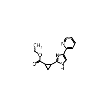 CCOC(=O)C1CC1c1nc(-c2ccccn2)c[nH]1